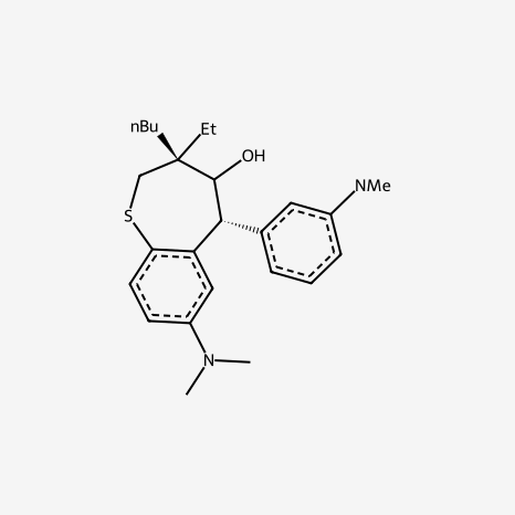 CCCC[C@]1(CC)CSc2ccc(N(C)C)cc2[C@@H](c2cccc(NC)c2)C1O